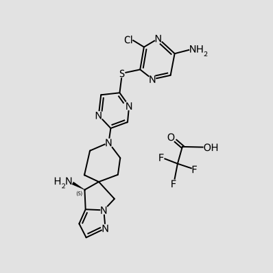 Nc1cnc(Sc2cnc(N3CCC4(CC3)Cn3nccc3[C@H]4N)cn2)c(Cl)n1.O=C(O)C(F)(F)F